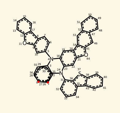 c1ccc(N(c2ccc3c(c2)oc2ccccc23)c2cc3c(cc2N(c2ccccc2)c2cccc4c2sc2ccccc24)oc2cc4ccccc4cc23)cc1